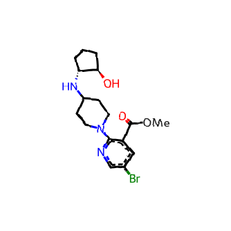 COC(=O)c1cc(Br)cnc1N1CCC(N[C@@H]2CCC[C@H]2O)CC1